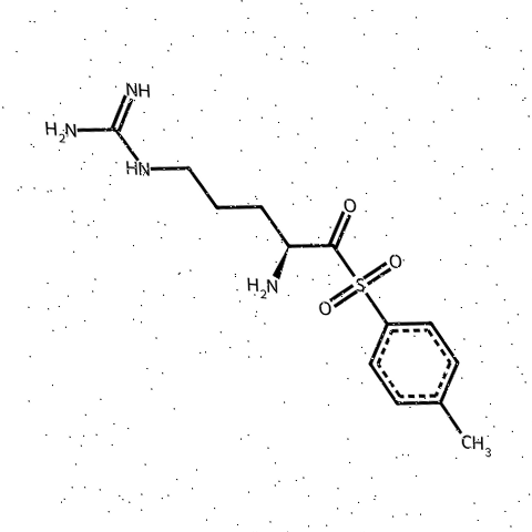 Cc1ccc(S(=O)(=O)C(=O)[C@@H](N)CCCNC(=N)N)cc1